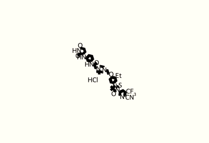 CCc1cc(N2C(=S)N(c3cnc(C#N)c(C(F)(F)F)c3)C(=O)C2(C)C)ccc1OCCN1CCN(CC(=O)Nc2cccc(NC3CCC(=O)NC3=O)c2)C(C)(C)C1.Cl